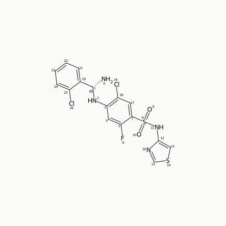 N[C@H](Nc1cc(F)c(S(=O)(=O)Nc2cscn2)cc1Cl)c1ccccc1Cl